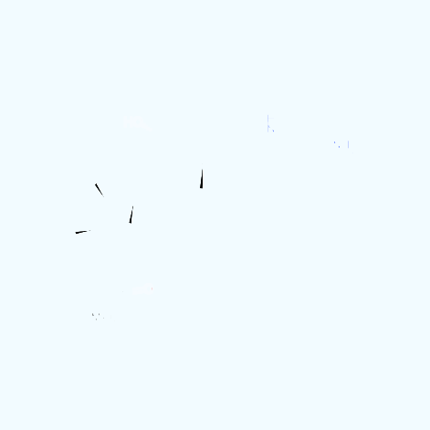 COC(=O)CC[C@@H](C)[C@H]1CCC2C3C(CC[C@@]21C)[C@@]1(C)CC[C@@H](NCCN)C[C@@H]1C[C@H]3O